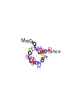 CCCCCCC(=O)C1CCN(S(=O)(=O)c2ccc(CNC(=O)c3cccc(OC)c3)s2)CC1.CCCc1cccc(NC2CCN(S(=O)(=O)c3ccc(CNC(=O)c4ccc(Cl)cc4)o3)CC2)c1